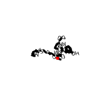 COC1OC1[C@@H]1CCCN(C(=O)[C@H](Cc2cccc(O)c2)NC(=O)[C@@H](NC(=O)CCOCCSSc2ccccn2)C(C)C)N1